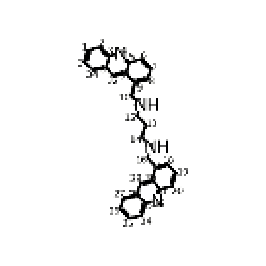 c1ccc2nc3cccc(CNCCCNCc4cccc5nc6ccccc6cc45)c3cc2c1